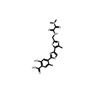 Cc1nc(CNC(=O)C(=O)N(C)C)sc1-c1csc(-c2cc(O)c(C(=O)O)cc2F)n1